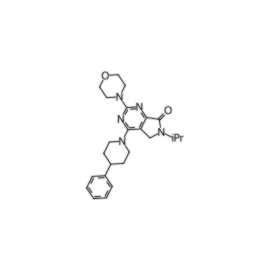 CC(C)N1Cc2c(nc(N3CCOCC3)nc2N2CCC(c3ccccc3)CC2)C1=O